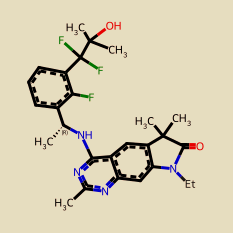 CCN1C(=O)C(C)(C)c2cc3c(N[C@H](C)c4cccc(C(F)(F)C(C)(C)O)c4F)nc(C)nc3cc21